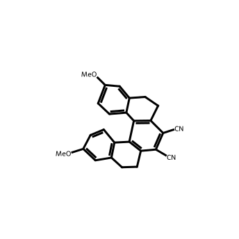 COc1ccc2c(c1)CCc1c(C#N)c(C#N)c3c(c1-2)-c1ccc(OC)cc1CC3